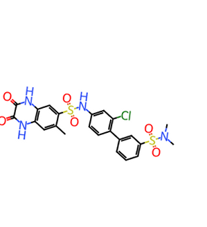 Cc1cc2[nH]c(=O)c(=O)[nH]c2cc1S(=O)(=O)Nc1ccc(-c2cccc(S(=O)(=O)N(C)C)c2)c(Cl)c1